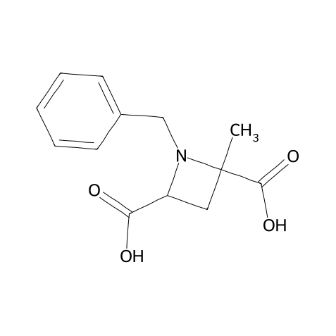 CC1(C(=O)O)CC(C(=O)O)N1Cc1ccccc1